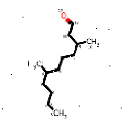 CCCCC(C)CCCC(C)CC=O